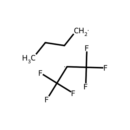 FC(F)(F)[CH]C(F)(F)F.[CH2]CCC